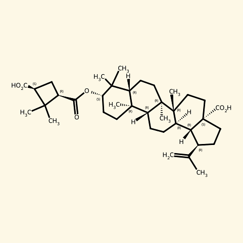 C=C(C)[C@@H]1CC[C@]2(C(=O)O)CC[C@]3(C)[C@H](CC[C@@H]4[C@@]5(C)CC[C@H](OC(=O)[C@@H]6C[C@H](C(=O)O)C6(C)C)C(C)(C)[C@@H]5CC[C@]43C)[C@@H]12